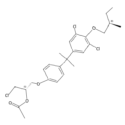 CC[C@@H](C)COc1c(Cl)cc(C(C)(C)c2ccc(OC[C@@H](CCl)OC(C)=O)cc2)cc1Cl